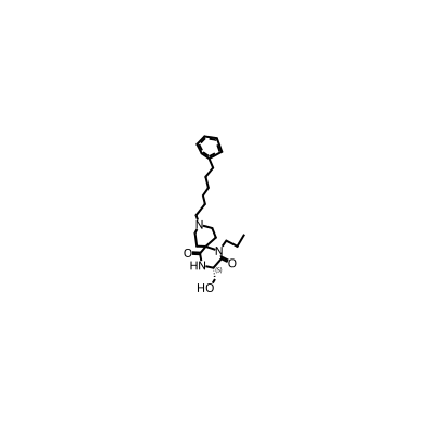 CCCN1C(=O)[C@H](CO)NC(=O)C12CCN(CCCCCCc1ccccc1)CC2